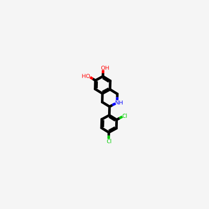 Oc1cc2c(cc1O)CC(c1ccc(Cl)cc1Cl)NC2